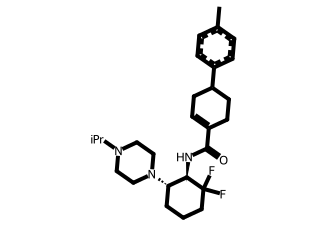 Cc1ccc(C2CC=C(C(=O)N[C@@H]3[C@@H](N4CCN(C(C)C)CC4)CCCC3(F)F)CC2)cc1